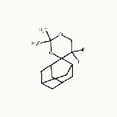 CC1(C)OCC(F)(F)C2(O1)C1CC3CC(C1)CC2C3